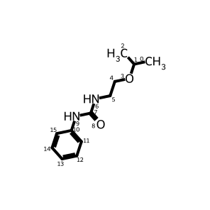 CC(C)OCCNC(=O)Nc1ccccc1